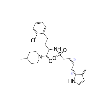 C=c1cc[nH]/c1=C/C=C\CS(=O)(=O)NC(CCc1ccccc1Cl)C(=O)N1CCC(C)CC1